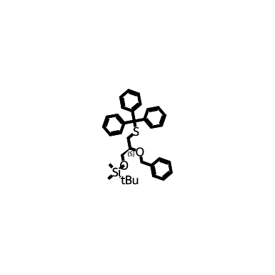 CC(C)(C)[Si](C)(C)OC[C@@H](CSC(c1ccccc1)(c1ccccc1)c1ccccc1)OCc1ccccc1